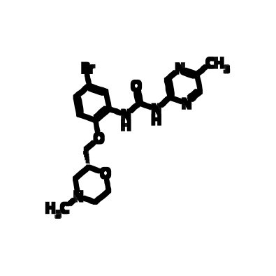 Cc1cnc(NC(=O)Nc2cc(Br)ccc2OC[C@H]2CN(C)CCO2)cn1